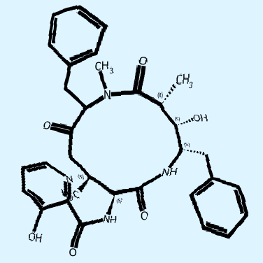 C[C@H]1CC(=O)C(Cc2ccccc2)N(C)C(=O)[C@H](C)[C@H](O)[C@H](Cc2ccccc2)NC(=O)[C@H]1NC(=O)c1ncccc1O